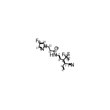 C=C/C(C#N)=C(\C=C\NC(=O)CCn1cc(F)cn1)C(F)(F)F